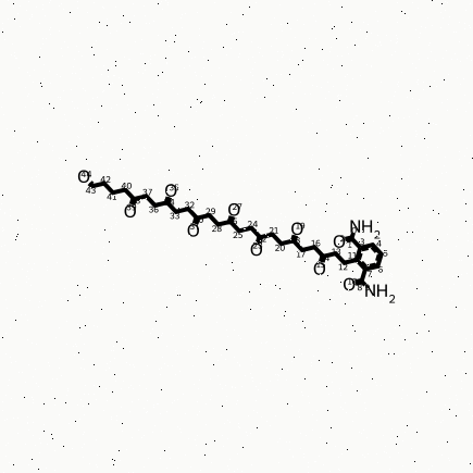 NC(=O)c1cccc(C(N)=O)c1CCC(=O)CCC(=O)CCC(=O)CCC(=O)CCC(=O)CCC(=O)CCC(=O)CCCC=O